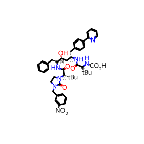 CC(C)(C)[C@H](NC(=O)O)C(=O)N[C@@H](Cc1ccc(-c2ccccn2)cc1)C[C@H](O)[C@H](Cc1ccccc1)NC(=O)[C@@H](N1CCN(Cc2cccc([N+](=O)[O-])c2)C1=O)C(C)(C)C